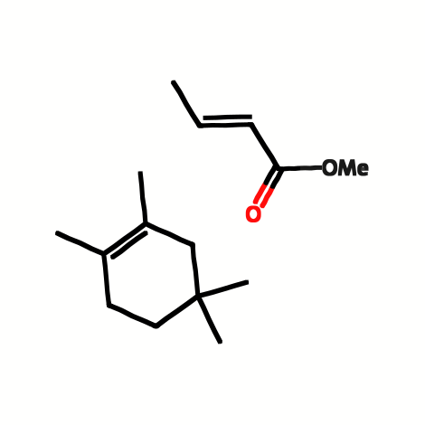 CC1=C(C)CC(C)(C)CC1.CC=CC(=O)OC